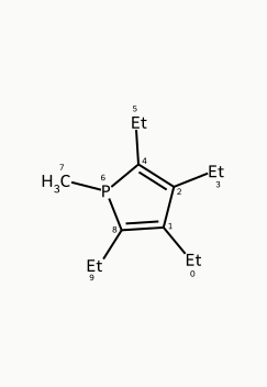 CCc1c(CC)c(CC)p(C)c1CC